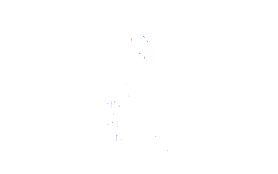 C=C(c1nnc(NC(=O)c2cc(S(=O)(=O)NCC)ccc2F)s1)c1ccccc1F